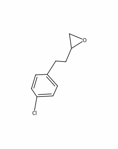 Clc1ccc(CCC2CO2)cc1